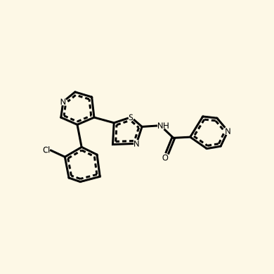 O=C(Nc1ncc(-c2ccncc2-c2ccccc2Cl)s1)c1ccncc1